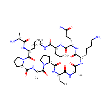 CC(C)C[C@H](NC(=O)[C@@H]1CCCN1C(=O)[C@@H](NC(=O)[C@@H]1CCCN1C(=O)[C@H](CCC(=O)O)NC(=O)[C@H](C)N)C(C)C)C(=O)N[C@H](C(=O)N[C@@H](CCCCN)C(=O)N[C@@H](CCC(N)=O)C(=O)N[C@@H](CCC(=O)O)C(=O)N[C@@H](C)C(=O)O)C(C)C